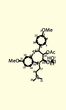 CCO.COc1ccc(C2Sc3cc(OC)ccc3N(CCN(C)C)C(=O)C2OC(C)=O)cc1.Cl